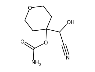 N#CC(O)C1(OC(N)=O)CCOCC1